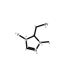 CC(C)CC1N(F)C=NN1C